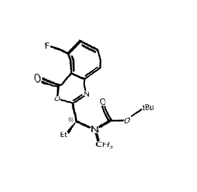 CC[C@@H](c1nc2cccc(F)c2c(=O)o1)N(C)C(=O)OC(C)(C)C